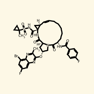 Cc1nc2c(Br)cc(F)cc2nc1O[C@@H]1C[C@H]2C(=O)N[C@]3(C(=O)NS(=O)(=O)C4(C)CC4)C[C@H]3C=CCCCCC[C@H](NC(=O)c3ccc(F)cc3)C(=O)N2C1